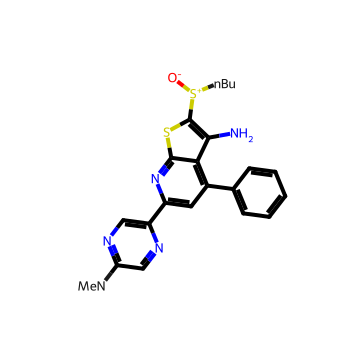 CCCC[S+]([O-])c1sc2nc(-c3cnc(NC)cn3)cc(-c3ccccc3)c2c1N